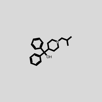 C[C](C)CN1CCC(C(O)(c2ccccc2)c2ccccc2)CC1